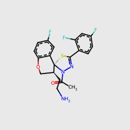 CC(=O)N1N=C(c2ccc(F)cc2F)S[C@]12c1cc(F)ccc1OC[C@@H]2CCN